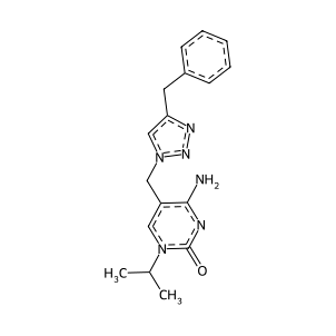 CC(C)n1cc(Cn2cc(Cc3ccccc3)nn2)c(N)nc1=O